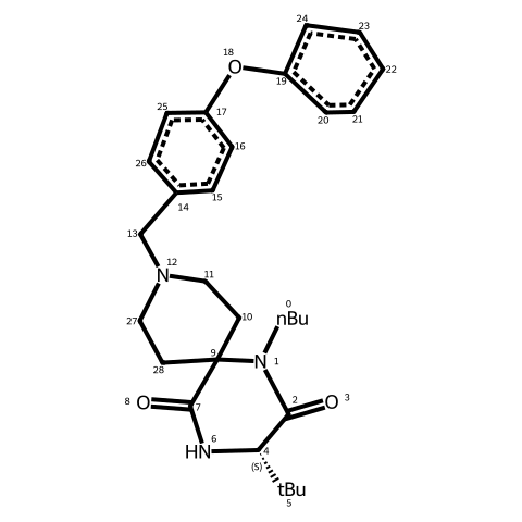 CCCCN1C(=O)[C@H](C(C)(C)C)NC(=O)C12CCN(Cc1ccc(Oc3ccccc3)cc1)CC2